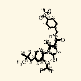 CCc1nc(C(=O)NCC2CCC(S(C)(=O)=O)CC2)c(Cl)n1-c1ncc(CC(C)(C)C(F)(F)F)cc1OC(F)F